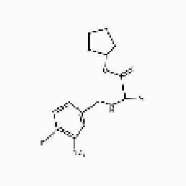 CC(C)C(NCc1ccc(F)c([N+](=O)[O-])c1)C(=O)OC1CCCC1